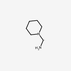 N[C]N1CCCCC1